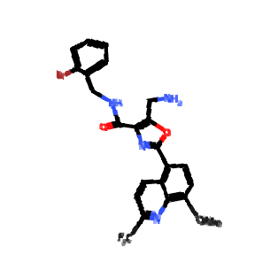 COc1ccc(-c2nc(C(=O)NCc3ccccc3Br)c(CN)o2)c2ccc(C(F)(F)F)nc12